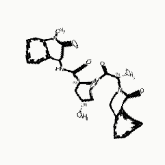 C[C@@H](C(=O)N1C[C@H](O)C[C@H]1C(=O)NC1C(=O)N(C)c2ccccc21)N1Cc2ccccc2C1=O